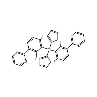 Fc1ccc(-c2ccccn2)c(F)[c]1[Ti]([C]1=CC=CC1)([C]1=CC=CC1)[c]1c(F)ccc(-c2ccccn2)c1F